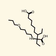 CCCOCCCCNC(CC)(C(=O)O)C(CC)CCCCCC(=O)O